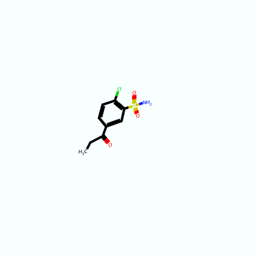 CCC(=O)c1ccc(Cl)c(S(N)(=O)=O)c1